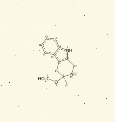 CC1(OC(=O)O)Cc2c([nH]c3ccccc23)CN1